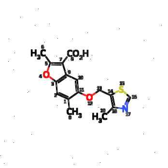 Cc1cc2oc(C)c(C(=O)O)c2cc1OCc1scnc1C